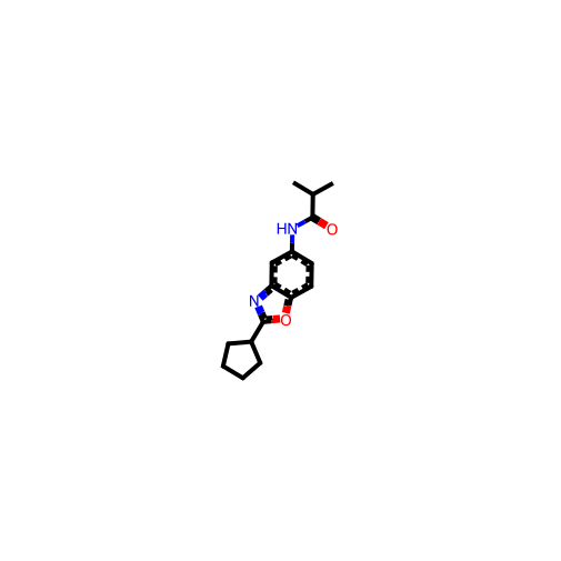 CC(C)C(=O)Nc1ccc2oc(C3CCCC3)nc2c1